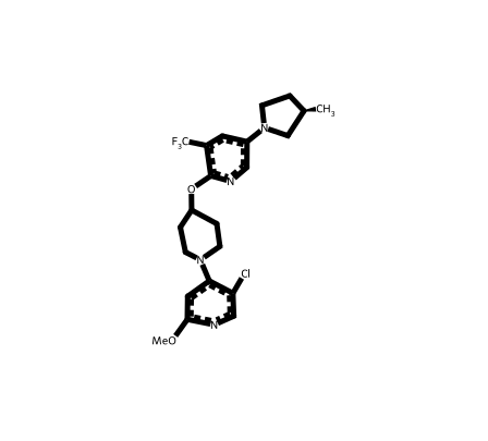 COc1cc(N2CCC(Oc3ncc(N4CC[C@@H](C)C4)cc3C(F)(F)F)CC2)c(Cl)cn1